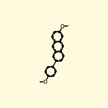 COc1ccc(-c2ccc3cc4cc(OC)ccc4cc3c2)cc1